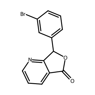 O=C1OC(c2cccc(Br)c2)c2ncccc21